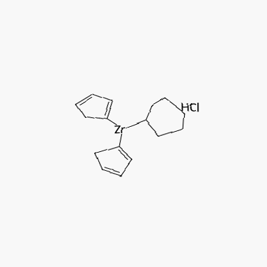 C1=CC[C]([Zr]([C]2=CC=CC2)[CH]2CCCCC2)=C1.Cl